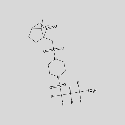 CC1(C)C2CCC1(CS(=O)(=O)N1CCN(S(=O)(=O)C(F)(F)C(F)(F)C(F)(F)S(=O)(=O)O)CC1)C(=O)C2